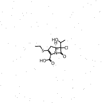 CCSC1=C(C(=O)O)N2C(=O)C(Cl)(C(C)O)[C@@H]2C1